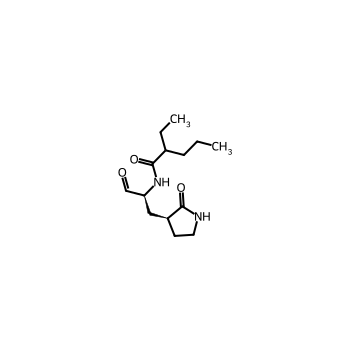 CCCC(CC)C(=O)N[C@H](C=O)C[C@@H]1CCNC1=O